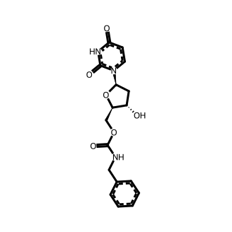 O=C(NCc1ccccc1)OC[C@H]1O[C@@H](n2ccc(=O)[nH]c2=O)C[C@@H]1O